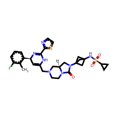 Cc1c(F)cccc1[C@@H]1C=C(CN2CCN3C(=O)N(C45CC(NS(=O)(=O)C6CC6)(C4)C5)C[C@@H]3C2)NC(c2nccs2)=N1